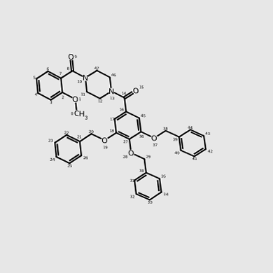 COc1ccccc1C(=O)N1CCN(C(=O)c2cc(OCc3ccccc3)c(OCc3ccccc3)c(OCc3ccccc3)c2)CC1